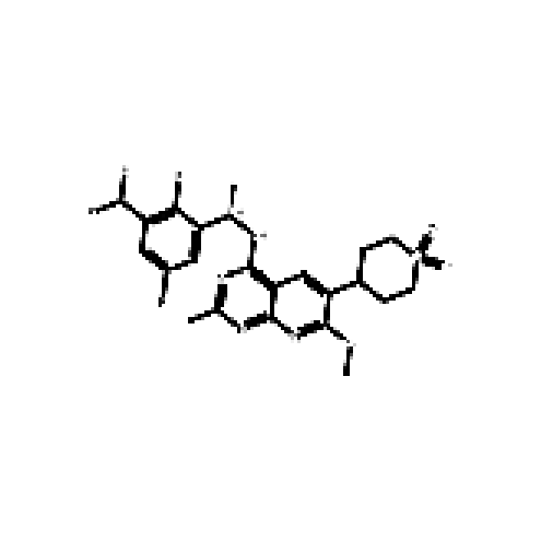 COc1nc2nc(C)nc(N[C@H](C)c3cc(F)cc(C(F)F)c3F)c2cc1C1CCS(=O)(=O)CC1